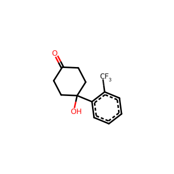 O=C1CCC(O)(c2ccccc2C(F)(F)F)CC1